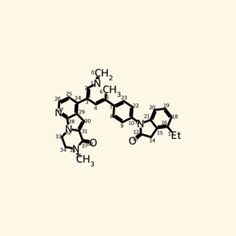 C=N/C=C(\C=C(/C)c1ccc(N2C(=O)Cc3c(CC)cccc32)cc1)c1ccnc2c1cc1n2CCN(C)C1=O